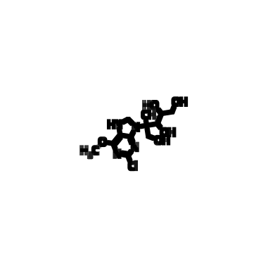 COc1nc(Cl)nc2c1NCN2C(C)(CO)C(O)C(O)CO